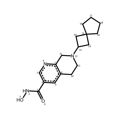 O=C(NO)c1cnc2c(c1)CCN(C1CC3(CCCC3)C1)C2